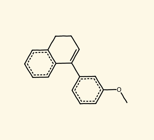 COc1cccc(C2=CCCc3ccccc32)c1